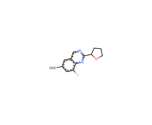 O=Cc1cc(F)c2nc(C3CCCO3)ncc2c1